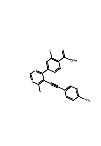 COC(=O)c1ccc(-c2ncnc(C)c2C#Cc2ccc(N)nc2)cc1F